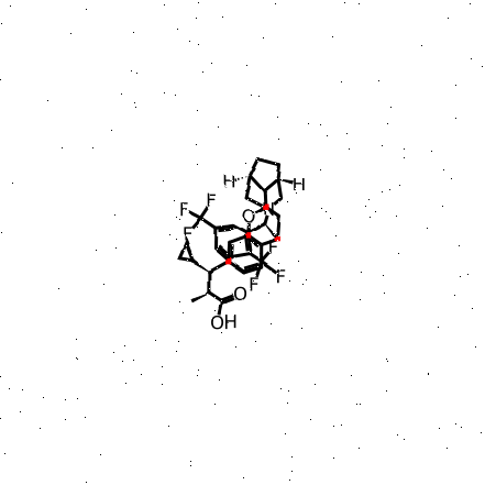 C[C@H](C(=O)O)[C@H](c1ccc2c(c1)OC(C1[C@@H]3CC[C@@H]1CN([C@@H](C)c1cc(C(F)(F)F)ccc1C(F)(F)F)C3)CC2)C1CC1